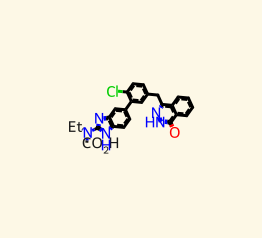 CCN(C(=O)O)c1nc2cc(-c3cc(Cc4n[nH]c(=O)c5ccccc45)ccc3Cl)ccc2[nH]1